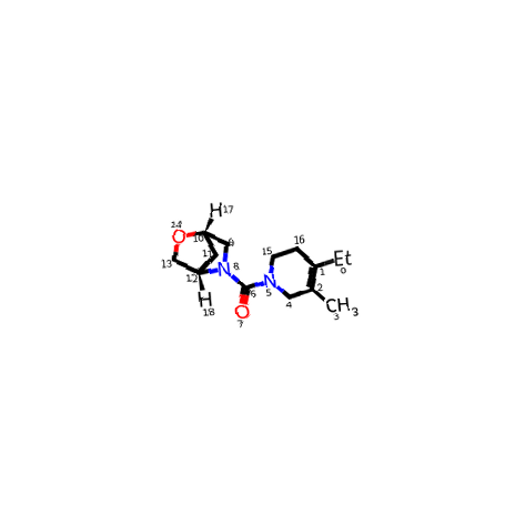 CCC1=C(C)CN(C(=O)N2C[C@@H]3C[C@H]2CO3)CC1